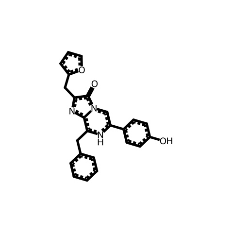 O=c1c(Cc2ccco2)nc2c(Cc3ccccc3)[nH]c(-c3ccc(O)cc3)cn1-2